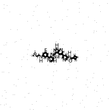 CN(C)CCNc1cc(F)cc(-c2nccc3[nH]c(-c4n[nH]c5ncc(-c6cncc(NC(=O)C7CCC7)c6)c(F)c45)nc23)c1